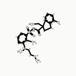 CCC1(C(=O)NS(=O)(=O)c2cccc(N(C)CCOC)c2C)CCc2c(Cl)cccc21